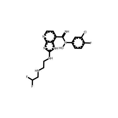 N=C(c1ccnc2nc(NCCNCC(F)F)[nH]c12)N(O)c1ccc(F)c(Cl)c1